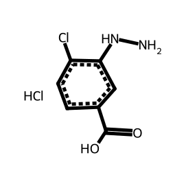 Cl.NNc1cc(C(=O)O)ccc1Cl